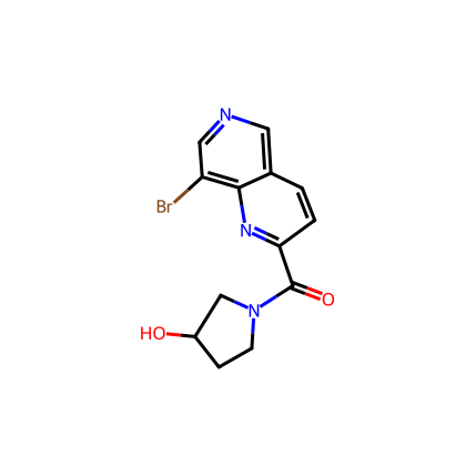 O=C(c1ccc2cncc(Br)c2n1)N1CCC(O)C1